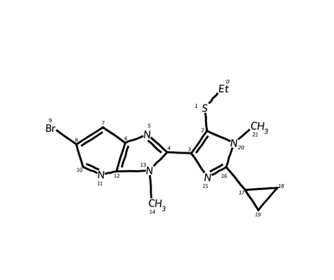 CCSc1c(-c2nc3cc(Br)cnc3n2C)nc(C2CC2)n1C